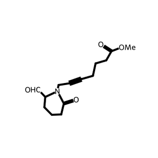 COC(=O)CCCC#CCN1C(=O)CCCC1C=O